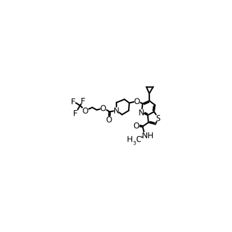 CNC(=O)c1csc2cc(C3CC3)c(OC3CCN(C(=O)OCCOC(F)(F)F)CC3)nc12